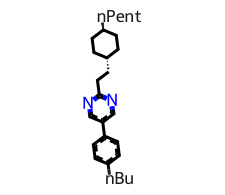 CCCCC[C@H]1CC[C@H](CCc2ncc(-c3ccc(CCCC)cc3)cn2)CC1